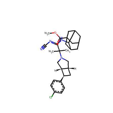 COC(=O)C12CC3CC(C1)C(N/C(=N/C#N)C(C)(C)N1C[C@@H]4C[C@@H](c5ccc(Cl)cc5)[C@@H]4C1)C(C3)C2